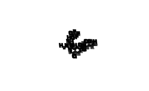 N=C(N)Nc1ncc(Cl)c2ccc(S(=O)(=O)N(CC(=O)O)Cc3ccccc3)cc12.O=C(O)C(F)(F)F